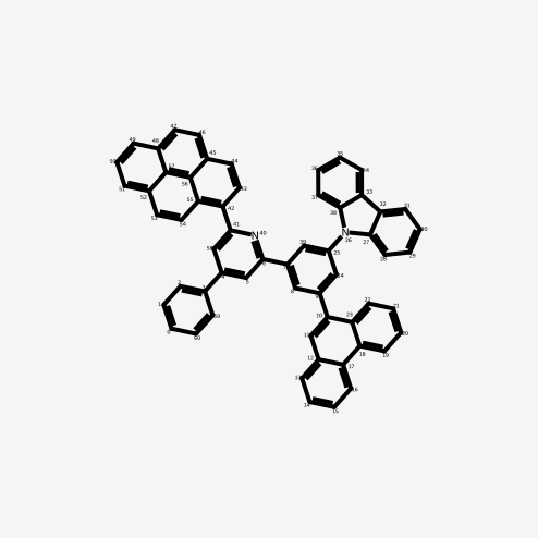 c1ccc(-c2cc(-c3cc(-c4cc5ccccc5c5ccccc45)cc(-n4c5ccccc5c5ccccc54)c3)nc(-c3ccc4ccc5cccc6ccc3c4c56)c2)cc1